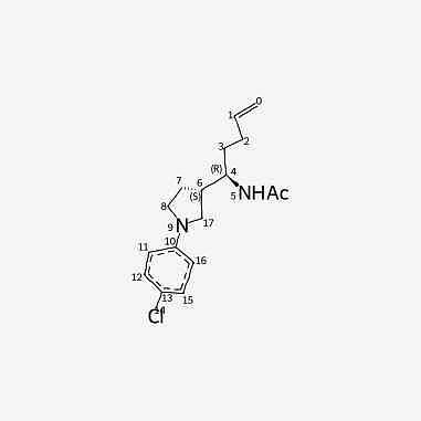 C=CCC[C@@H](NC(C)=O)[C@H]1CCN(c2ccc(Cl)cc2)C1